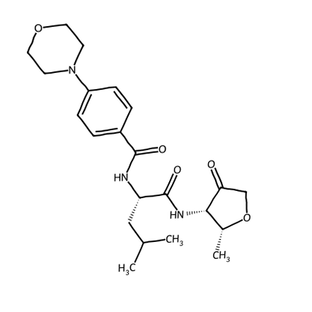 CC(C)C[C@H](NC(=O)c1ccc(N2CCOCC2)cc1)C(=O)N[C@@H]1C(=O)CO[C@@H]1C